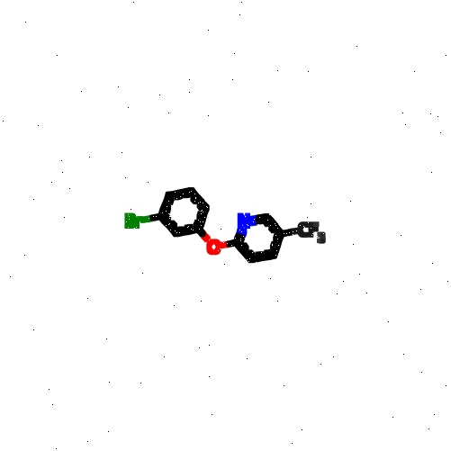 FC(F)(F)c1ccc(Oc2cccc(Br)c2)nc1